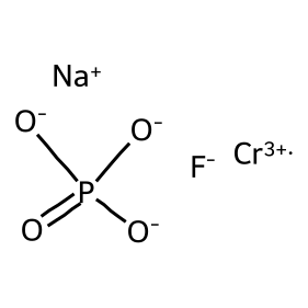 O=P([O-])([O-])[O-].[Cr+3].[F-].[Na+]